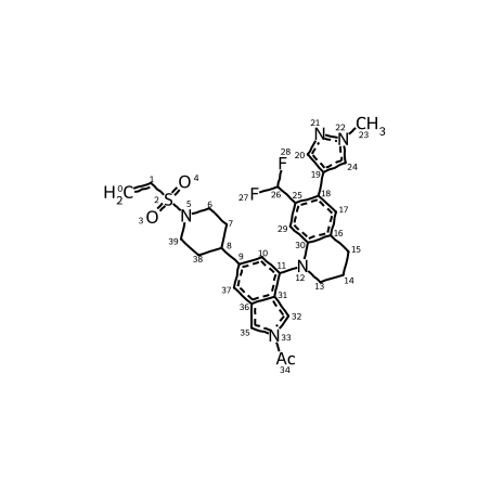 C=CS(=O)(=O)N1CCC(c2cc(N3CCCc4cc(-c5cnn(C)c5)c(C(F)F)cc43)c3cn(C(C)=O)cc3c2)CC1